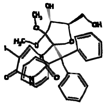 COC1(OC)[C@H](O)[C@@H](CO)O[C@]1(n1cc(I)c(=O)[nH]c1=O)C(c1ccccc1)(c1ccccc1)c1ccccc1